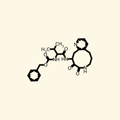 CC(C)C(NC(=O)OCc1ccccc1)C(=O)NC1Cc2ncccc2CCCNC(=O)C1=O